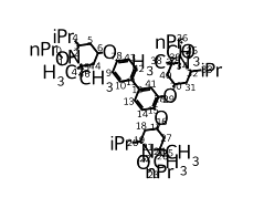 CCCON1C(C(C)C)CC(Oc2ccc(-c3ccc(OC4CC(C(C)C)N(OCCC)C(C)(C)C4)c(OC4CC(C(C)C)N(OCCC)C(C)(C)C4)c3)cc2)CC1(C)C